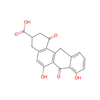 O=C1c2c(O)cccc2Cc2c1c(O)cc1c2C(=O)CC(C(=O)O)C1